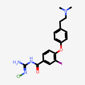 CN(C)CCc1ccc(Oc2ccc(C(=O)NC(N)=NCl)cc2I)cc1